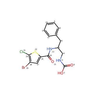 O=C(O)NCC(Cc1ccccc1)NC(=O)c1cc(Br)c(Cl)s1